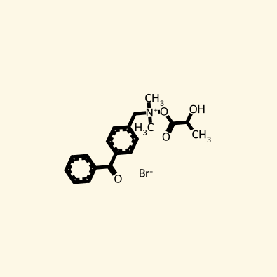 CC(O)C(=O)O[N+](C)(C)Cc1ccc(C(=O)c2ccccc2)cc1.[Br-]